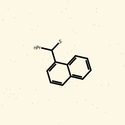 CCCC([S])c1cccc2ccccc12